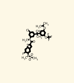 CC(C)Oc1cc(OC(F)(F)F)cc(C(C)(C)c2cc(Cl)cc(N(C)C(=O)c3cc4cc(N(C)S(C)(=O)=O)c(F)cc4s3)c2)c1